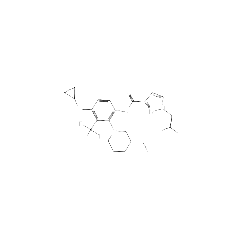 NC[C@@H]1CCCN(c2c(NC(=O)c3ccn(CC(F)F)n3)ccc(OC3CC3)c2C(F)(F)F)C1